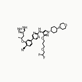 C[C@@H](CN(C=N)N=N)Oc1cc(-c2cnc(Nc3cn([C@H]4CC[C@H](N5CCOCC5)CC4)nc3OCCCOCC(F)F)nc2)ccc1C#N